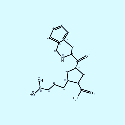 O=C(O)C1CN(C(=O)C2Cc3ccccc3CN2)CC1CCCB(O)O